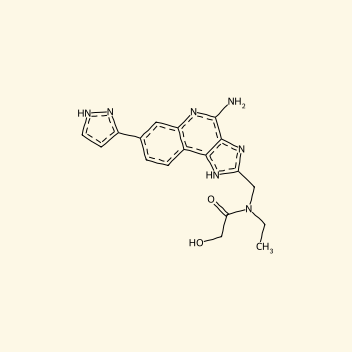 CCN(Cc1nc2c(N)nc3cc(-c4cc[nH]n4)ccc3c2[nH]1)C(=O)CO